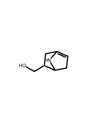 OCC1CC2=CCC1N2